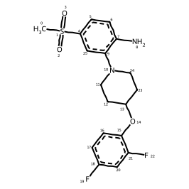 CS(=O)(=O)c1ccc(N)c(N2CCC(Oc3ccc(F)cc3F)CC2)c1